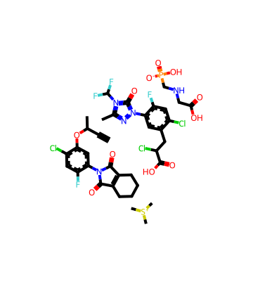 C#CC(C)Oc1cc(N2C(=O)C3=C(CCCC3)C2=O)c(F)cc1Cl.C[S+](C)C.Cc1nn(-c2cc(CC(Cl)C(=O)O)c(Cl)cc2F)c(=O)n1C(F)F.O=C(O)CNCP(=O)([O-])O